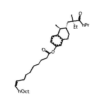 CCCCCCCC/C=C\CCCCCCCC(=O)Oc1ccc2c(c1)CC[C@@H](C[C@](C)(CC)C(=O)CCC)[C@@H]2C